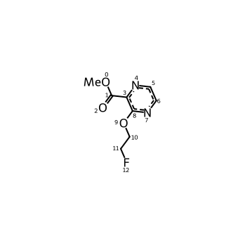 COC(=O)c1nccnc1OCCF